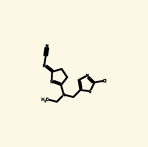 CCN(Cc1cnc(Cl)s1)C1=NC(=NC#N)CC1